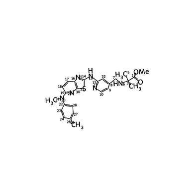 COC(=O)C(C)(C)NCc1ccnc(Nc2nc3ccc(N(C)c4ccc(C)cc4)nc3s2)c1